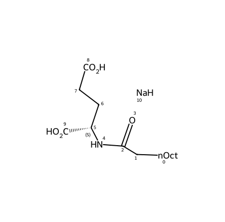 CCCCCCCCCC(=O)N[C@@H](CCC(=O)O)C(=O)O.[NaH]